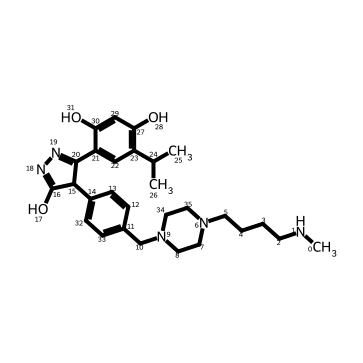 CNCCCCN1CCN(Cc2ccc(C3C(O)=NN=C3c3cc(C(C)C)c(O)cc3O)cc2)CC1